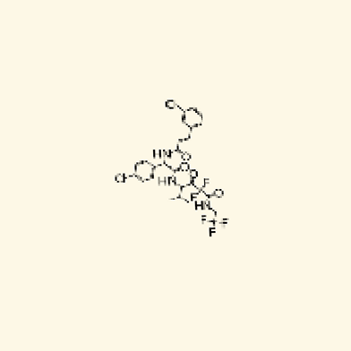 CC(C)C(NC(=O)C(NC(=O)/C=C/c1cccc(Cl)c1)c1ccc(Cl)cc1)C(=O)C(F)(F)C(=O)NCC(F)(F)F